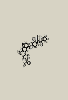 C=CC(=O)N1CC=C(c2cc3c(OC4=CCC(NC(=O)C5CCCC5)C(Cl)=C4)ccnc3cc2OC)CC1